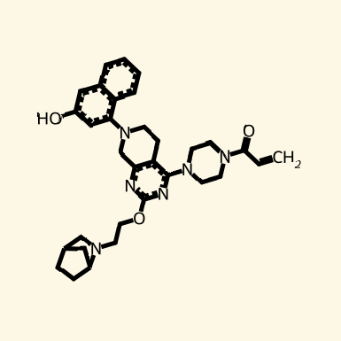 C=CC(=O)N1CCN(c2nc(OCCN3CC4CCC3C4)nc3c2CCN(c2cc(O)cc4ccccc24)C3)CC1